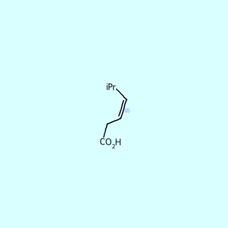 CC(C)/C=C\CC(=O)O